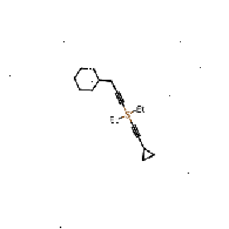 CCS(C#CCC1CCCCC1)(C#CC1CC1)CC